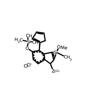 CO[Si]1(C)C2=C1[CH]([Zr+2])c1ccc(O[Si](C)(C)C)c(C3=CC=CC3)c12.[Cl-].[Cl-]